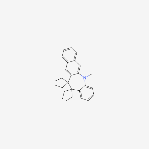 CCC1(CC)c2ccccc2N(C)c2cc3ccccc3cc2C1(CC)CC